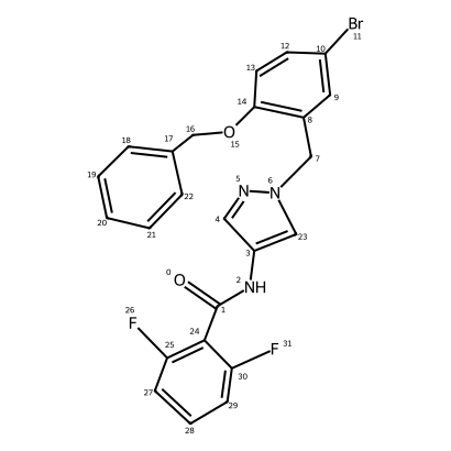 O=C(Nc1cnn(Cc2cc(Br)ccc2OCc2ccccc2)c1)c1c(F)cccc1F